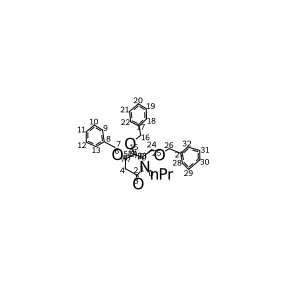 CCCN1C(=O)C[C@@H](OCc2ccccc2)[C@@H](OCc2ccccc2)[C@H]1COCc1ccccc1